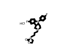 Cl.O=C1OCCN1CCCCN1CCC2C(C1)c1cc(F)ccc1N2c1ccc(F)cc1